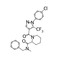 CN(Cc1ccccc1)C(=O)C1CCCCN1C(=O)c1cnn(-c2ccc(Cl)cc2)c1C(F)(F)F